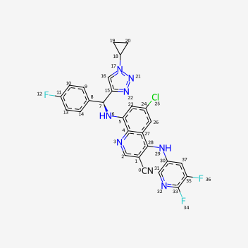 N#Cc1cnc2c(N[C@@H](c3ccc(F)cc3)c3cn(C4CC4)nn3)cc(Cl)cc2c1Nc1cnc(F)c(F)c1